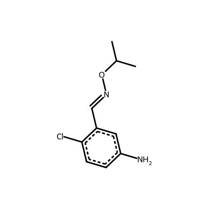 CC(C)ON=Cc1cc(N)ccc1Cl